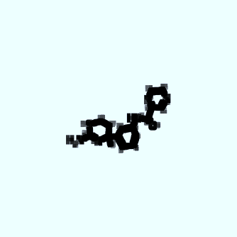 CC1(c2cccc(NC(=O)c3cnccn3)c2)CCSC(N)=N1